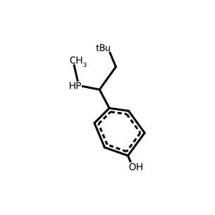 CPC(CC(C)(C)C)c1ccc(O)cc1